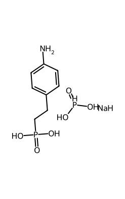 Nc1ccc(CCP(=O)(O)O)cc1.O=[PH](O)O.[NaH]